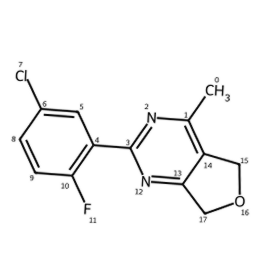 Cc1nc(-c2cc(Cl)ccc2F)nc2c1COC2